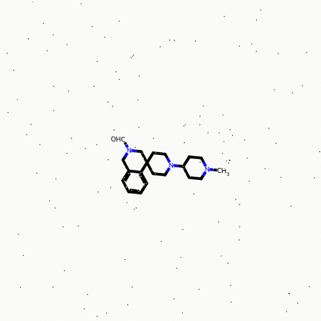 CN1CCC(N2CCC3(CC2)CN(C=O)Cc2ccccc23)CC1